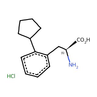 Cl.N[C@@H](Cc1ccccc1C1CCCC1)C(=O)O